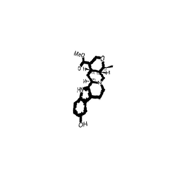 COC(=O)C1=CO[C@@H](C)[C@@H]2CN3CCc4c([nH]c5ccc(O)cc45)[C@H]3C[C@H]12